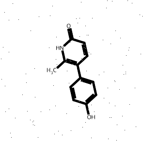 Cc1[nH]c(=O)ccc1-c1ccc(O)cc1